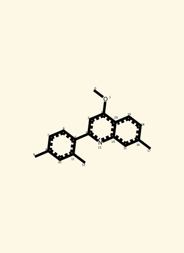 COc1cc(-c2ccc(C)cc2C)nc2cc(C)ccc12